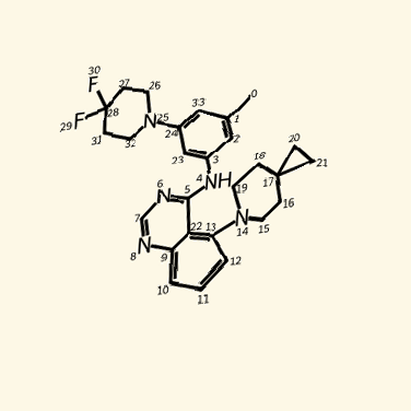 Cc1cc(Nc2ncnc3cccc(N4CCC5(CC4)CC5)c23)cc(N2CCC(F)(F)CC2)c1